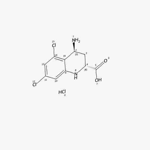 Cl.N[C@H]1C[C@H](C(=O)O)Nc2cc(Cl)cc(Cl)c21